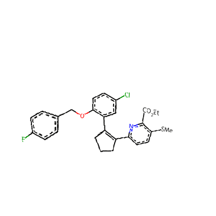 CCOC(=O)c1nc(C2=C(c3cc(Cl)ccc3OCc3ccc(F)cc3)CCC2)ccc1SC